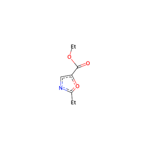 CCOC(=O)c1cnc(CC)o1